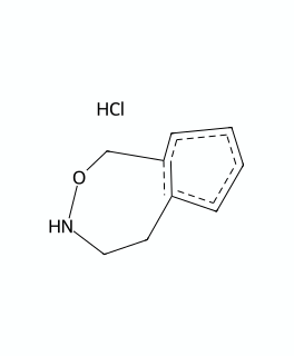 Cl.c1ccc2c(c1)CCNOC2